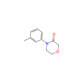 Cc1cccc(N2CCOCC2=O)c1